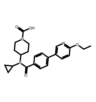 CCOc1ccc(-c2ccc(C(=O)N(C3CC3)C3CCN(C(=O)O)CC3)cc2)cn1